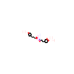 O=C(C=Cc1ccc(O)c(O)c1)NOC(=O)CCCc1ccc(O)cc1